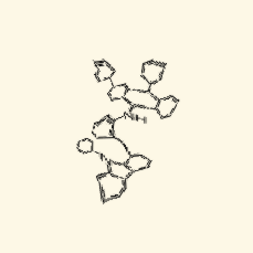 c1ccc(-c2ccc3c(Nc4ccccc4-c4cccc5c6ccccc6n(-c6ccccc6)c45)c4ccccc4c(-c4ccccc4)c3c2)cc1